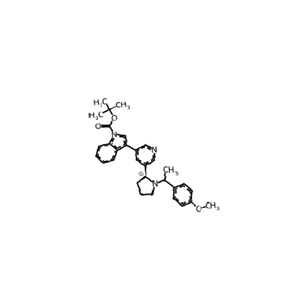 COc1ccc(C(C)N2CCC[C@H]2c2cncc(-c3cn(C(=O)OC(C)(C)C)c4ccccc34)c2)cc1